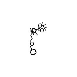 Cc1c(B2OC(C)(C)C(C)(C)O2)cnn1CCCOCc1ccccc1